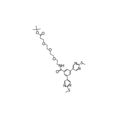 CSc1ncc(-c2cc(C(=O)NCCOCCOCCOCCC(=O)OC(C)(C)C)cc(-c3cnc(SC)nc3)c2)cn1